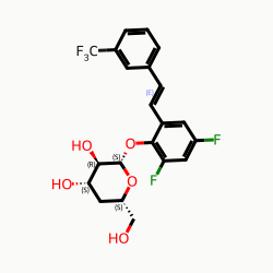 OC[C@@H]1C[C@H](O)[C@@H](O)[C@H](Oc2c(F)cc(F)cc2/C=C/c2cccc(C(F)(F)F)c2)O1